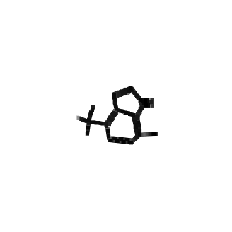 Cc1ccc(C(C)(C)C)c2cc[nH]c12